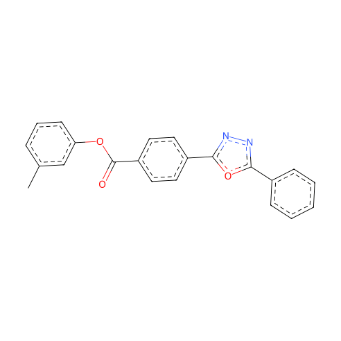 Cc1cccc(OC(=O)c2ccc(-c3nnc(-c4ccccc4)o3)cc2)c1